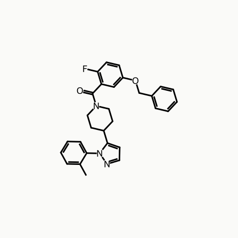 Cc1ccccc1-n1nccc1C1CCN(C(=O)c2cc(OCc3ccccc3)ccc2F)CC1